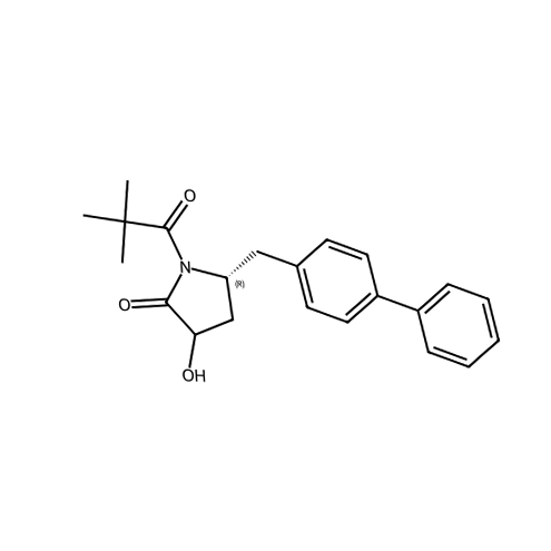 CC(C)(C)C(=O)N1C(=O)C(O)C[C@H]1Cc1ccc(-c2ccccc2)cc1